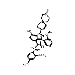 CCOc1ncccc1C1(NC(=O)N2CCC3(CCN(CC)CC3)CC2)C(=O)N(S(=O)(=O)c2ccc(OC)cc2OC)c2ccc(C#N)cc21